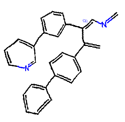 C=N/C=C(\C(=C)c1ccc(-c2ccccc2)cc1)c1cccc(-c2cccnc2)c1